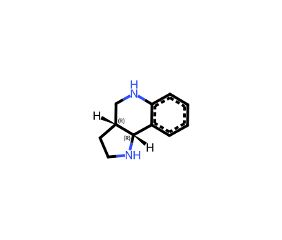 c1ccc2c(c1)NC[C@H]1CCN[C@@H]21